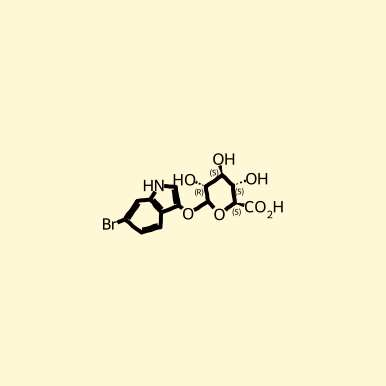 O=C(O)[C@H]1OC(Oc2c[nH]c3cc(Br)ccc23)[C@H](O)[C@@H](O)[C@@H]1O